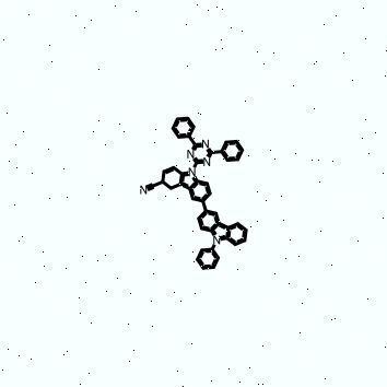 N#CC1C=Cc2c(c3cc(-c4ccc5c(c4)c4ccccc4n5-c4ccccc4)ccc3n2-c2nc(-c3ccccc3)nc(-c3ccccc3)n2)C1